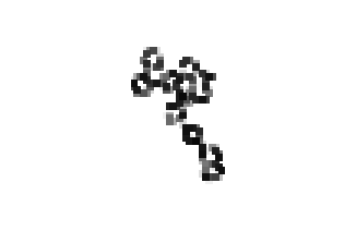 CC1(C)c2ccccc2-c2c(N(c3cccc(-c4ccc(-c5ccc6ccccc6c5)cc4)c3)c3cccc(-c4ccccc4-c4ccccc4)c3)cccc21